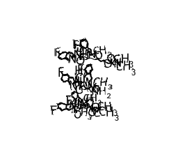 CC(=O)N(NCc1cccc(F)c1Cl)C(CCCCOC(=O)CN(C)C)COC(=O)Nc1cc2cc(F)ccc2cn1.CC(=O)N(NCc1cccc(F)c1Cl)[C@@H](CN)COC(=O)Nc1cc2cc(F)ccc2cn1.CC(=O)N(NCc1cccc(F)c1Cl)[C@@H](CNC(=O)OC(C)(C)C)CON(C=O)c1cc2cc(F)ccc2cn1